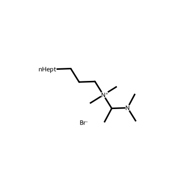 CCCCCCCCCC[N+](C)(C)C(C)N(C)C.[Br-]